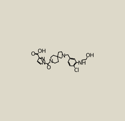 O=C(O)c1ccn(C(=O)N2CCC3(CCN(Cc4ccc(Cl)c(NCCO)c4)C3)CC2)n1